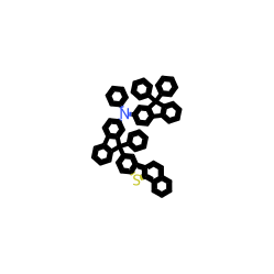 c1ccc(N(c2ccc3c(c2)C(c2ccccc2)(c2ccccc2)c2ccccc2-3)c2ccc3c(c2)C(c2ccccc2)(c2ccc4sc5c6ccccc6ccc5c4c2)c2ccccc2-3)cc1